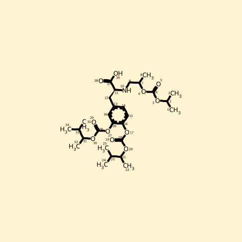 CC(C)OC(=O)OC(C)CN[C@@H](Cc1ccc(OC(=O)OC(C)C(C)C)c(OC(=O)OC(C)C(C)C)c1)C(=O)O